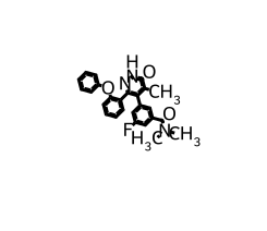 Cc1c(-c2cc(F)cc(C(=O)N(C)C)c2)c(-c2ccccc2Oc2ccccc2)n[nH]c1=O